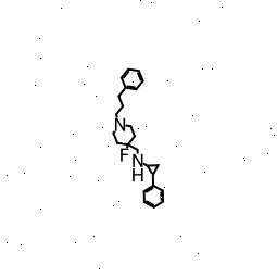 FC1(CNC2CC2c2ccccc2)CCN(CCCc2ccccc2)CC1